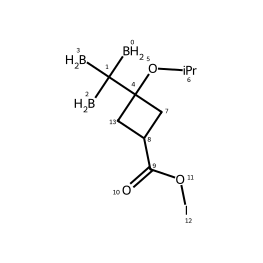 BC(B)(B)C1(OC(C)C)CC(C(=O)OI)C1